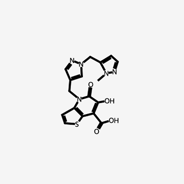 Cn1nccc1Cn1cc(Cn2c(=O)c(O)c(C(=O)O)c3sccc32)cn1